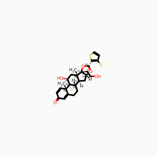 C[C@]12C=CC(=O)C=C1CC[C@H]1[C@@H]3C[C@H]4O[C@@H](c5sccc5F)O[C@@]4(C(=O)CO)[C@@]3(C)C[C@H](O)[C@@]12F